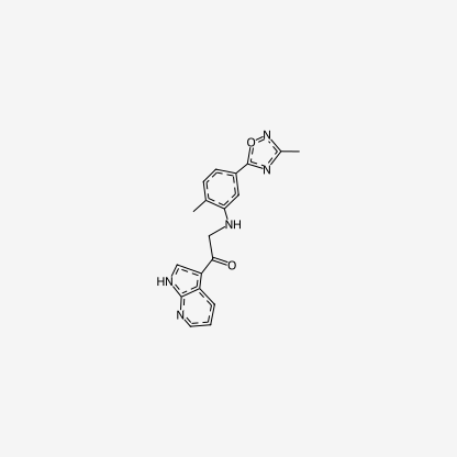 Cc1noc(-c2ccc(C)c(NCC(=O)c3c[nH]c4ncccc34)c2)n1